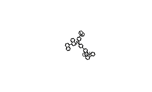 c1ccc2c(-c3ccc(N(c4ccc(-c5ccc6c(c5)Oc5cccc7c8ccccc8n-6c57)cc4)c4ccc(C56CC7CC(CC(C7)C5)C6)cc4)c4ccccc34)cccc2c1